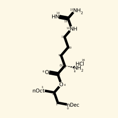 CCCCCCCCCCCC(CCCCCCCC)OC(=O)[C@@H](N)CCCNC(=N)N.Cl